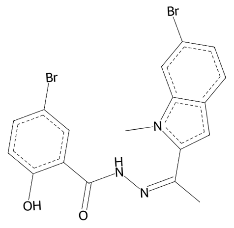 C/C(=N/NC(=O)c1cc(Br)ccc1O)c1cc2ccc(Br)cc2n1C